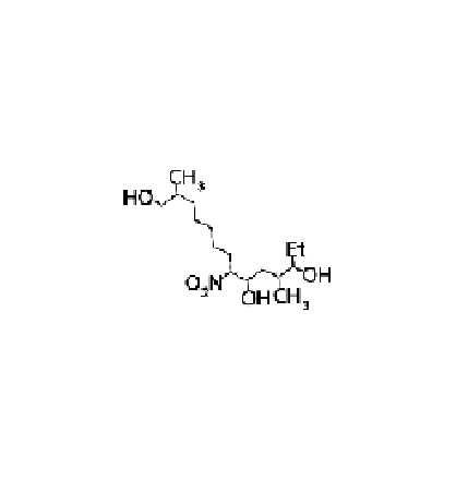 CCC(O)C(C)CC(O)C(CCCCCC(C)CO)[N+](=O)[O-]